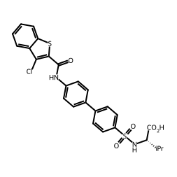 CC(C)[C@H](NS(=O)(=O)c1ccc(-c2ccc(NC(=O)c3sc4ccccc4c3Cl)cc2)cc1)C(=O)O